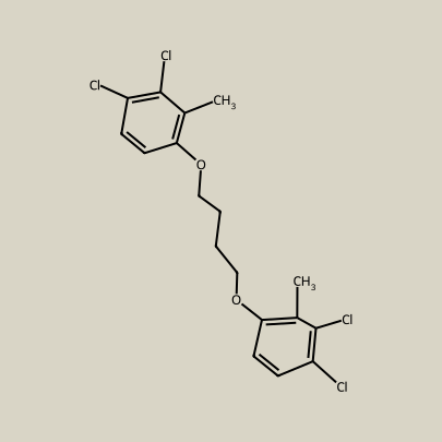 Cc1c(OCCCCOc2ccc(Cl)c(Cl)c2C)ccc(Cl)c1Cl